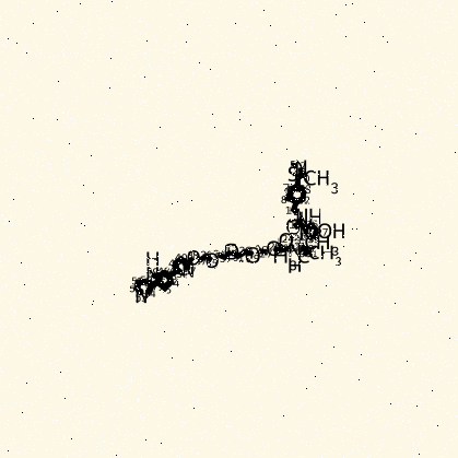 Cc1ncsc1-c1ccc(CNC(=O)C2CC(O)CN2C[C@@H](NC(=O)COCCOCCOCCOCCOc2ccc(-c3ccc4c(c3)[nH]c3ccncc34)cn2)C(C)(C)C)cc1